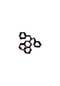 c1ccc(C[C](Cc2ccccc2)C(Cc2ccccc2)Cc2ccccc2)cc1